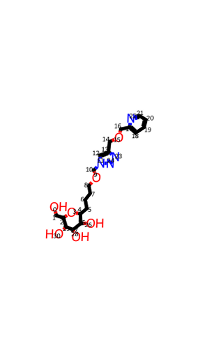 OCC1OC(CCCCOCn2cc(COCc3ccccn3)nn2)C(O)C(O)C1O